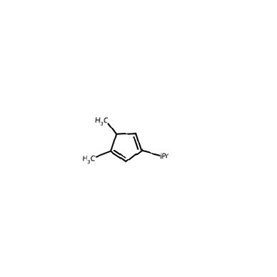 CC1=CC(C(C)C)=CC1C